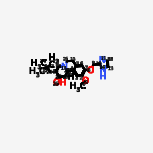 COc1cc2c(cc1OCc1ncc[nH]1)CCN1C[C@@H](CC(C)(C)C)[C@H](O)C[C@H]21